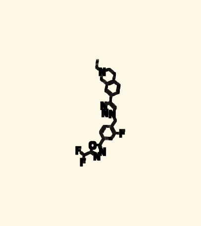 CCN1CCc2ccc(-c3cn(Cc4ccc(-c5nnc(C(F)F)o5)cc4F)nn3)cc2C1